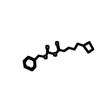 O=C(CCCCC1CCC1)OC(=O)OCc1ccccc1